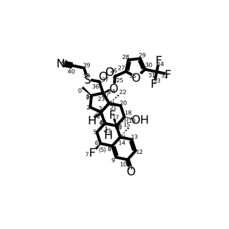 C[C@@H]1C[C@H]2[C@@H]3C[C@H](F)C4=CC(=O)C=C[C@]4(C)[C@@]3(F)[C@@H](O)C[C@]2(C)[C@@]1(OC(=O)c1ccc(C(F)(F)F)o1)C(=O)SCC#N